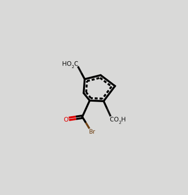 O=C(O)c1ccc(C(=O)O)c(C(=O)Br)c1